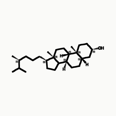 CC(C)[C@H](C)CCC[C@H]1CCC2[C@@H]3CC[C@H]4C[C@@H](O)CC[C@]4(C)[C@H]3CC[C@@]21C